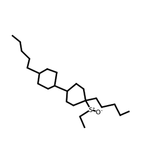 CCCCCC1CCC(C2CCC(CCCCC)([S+]([O-])CC)CC2)CC1